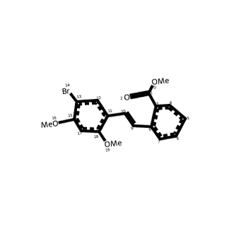 COC(=O)c1ccccc1/C=C/c1cc(Br)c(OC)cc1OC